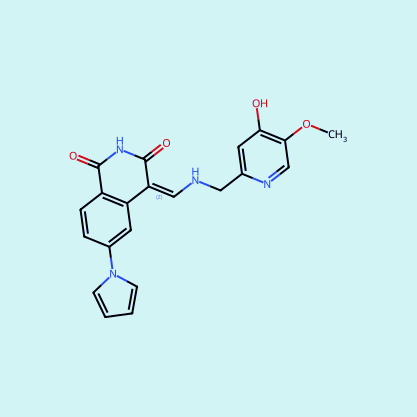 COc1cnc(CN/C=C2\C(=O)NC(=O)c3ccc(-n4cccc4)cc32)cc1O